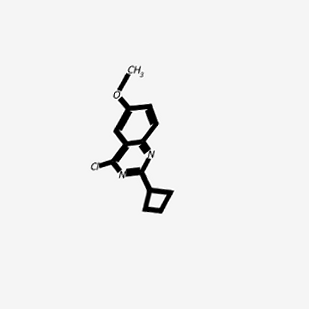 COc1ccc2nc(C3CCC3)nc(Cl)c2c1